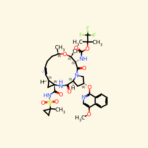 COc1cnc(O[C@@H]2C[C@H]3C(=O)N[C@]4(C(=O)NS(=O)(=O)C5(C)CC5)C[C@H]4/C=C\CC[C@@H](C)O[C@@H](C)[C@H](NC(=O)OC(C)(C)C(F)(F)F)C(=O)N3C2)c2ccccc12